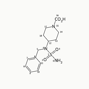 NS(=O)(=O)N(Cc1ccccc1)C1CCN(C(=O)O)CC1